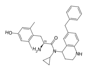 Cc1cc(O)cc(C)c1C[C@H](N)C(=O)N(C1CC1)C1CCNc2ccc(Cc3ccccc3)cc21